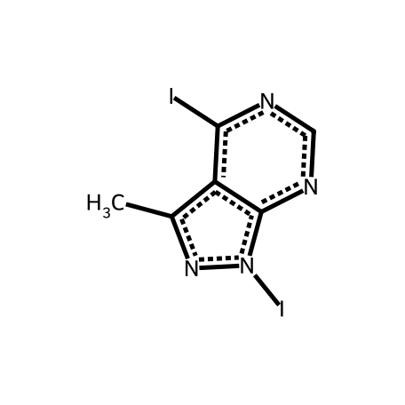 Cc1nn(I)c2ncnc(I)c12